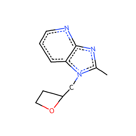 Cc1nc2ncccc2n1CC1CCO1